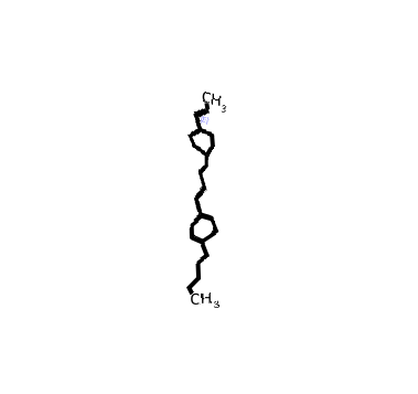 C/C=C/C1CCC(CCCCC2CCC(CCCCC)CC2)CC1